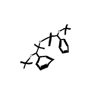 CC(C)(C)OC(c1ccccc1)C(C)(C)OC(C)(C)C(OC(C)(C)C)c1ccccc1